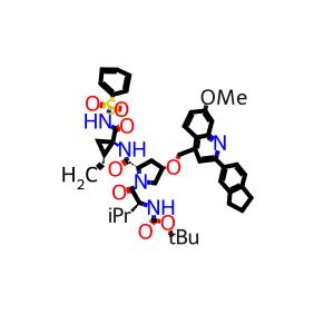 C=C[C@@H]1C[C@]1(NC(=O)[C@@H]1C[C@@H](OCc2cc(-c3ccc4c(c3)CCC4)nc3cc(OC)ccc23)CN1C(=O)[C@@H](NC(=O)OC(C)(C)C)C(C)C)C(=O)NS(=O)(=O)c1ccccc1